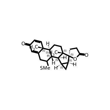 CSC1CC2=CC(=O)C=C[C@]2(C)[C@H]2CC[C@@]3(C)[C@@H]([C@@H]4C[C@@H]4[C@@]34CCC(=O)O4)[C@H]12